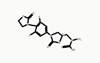 CN(C[C@@H]1CN(c2cc(F)c(N3CCOC3=O)c(F)c2)C(=O)O1)C(O)=S